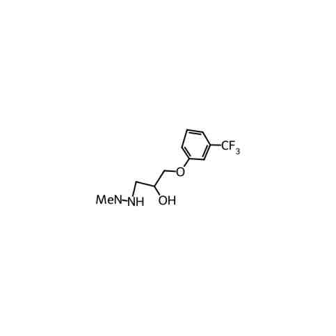 CNNCC(O)COc1cccc(C(F)(F)F)c1